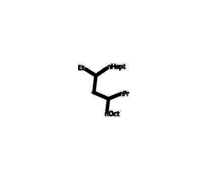 CCCCCCCCC([CH]C(CC)CCCCCCC)CCC